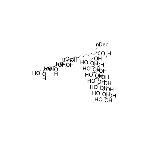 CCCCCCCCC=CCCCCCCC(CCCCCCCCCCCC)C(=O)O.OCC(O)CO.OCC(O)CO.OCC(O)CO.OCC(O)CO.OCC(O)CO.OCC(O)CO.OCC(O)CO.OCC(O)CO.OCC(O)CO.OCC(O)CO